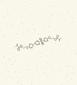 C=C(C)C(=O)OCCOc1ccc(S(=O)(=O)c2ccc(-c3ccc(SCCOC(=O)C(=C)C)cc3)cc2)cc1